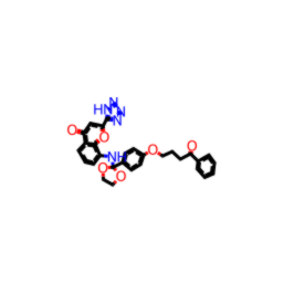 O=C(CCCOc1ccc(C2(Nc3cccc4c(=O)cc(-c5nnn[nH]5)oc34)OCCO2)cc1)c1ccccc1